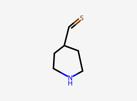 S=CC1CCNCC1